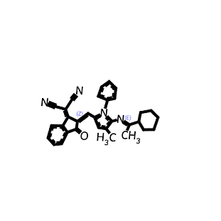 C/C(=N\c1c(C)cc(/C=C2\C(=O)c3ccccc3C2=C(C#N)C#N)n1-c1ccccc1)C1CCCCC1